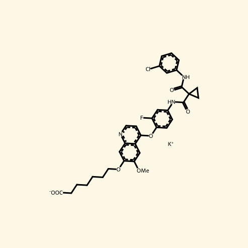 COc1cc2c(Oc3ccc(NC(=O)C4(C(=O)Nc5cccc(Cl)c5)CC4)cc3F)ccnc2cc1OCCCCCCC(=O)[O-].[K+]